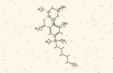 C=CC[C@@H]1[C@H](C)C[C@@H](O)C[C@H]1c1ccc(C(C)(C)CCCCCC)cc1O